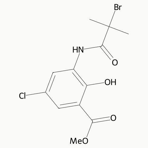 COC(=O)c1cc(Cl)cc(NC(=O)C(C)(C)Br)c1O